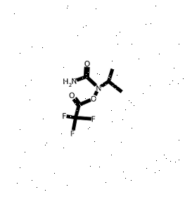 CC(C)N(OC(=O)C(F)(F)F)C(N)=O